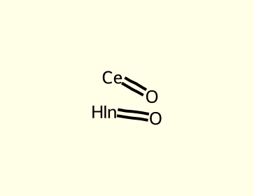 [O]=[Ce].[O]=[InH]